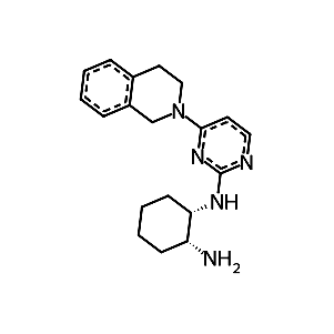 N[C@@H]1CCCC[C@@H]1Nc1nccc(N2CCc3ccccc3C2)n1